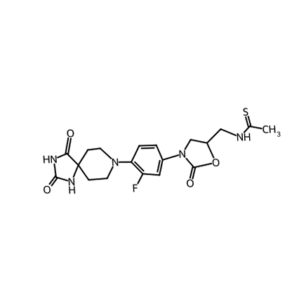 CC(=S)NCC1CN(c2ccc(N3CCC4(CC3)NC(=O)NC4=O)c(F)c2)C(=O)O1